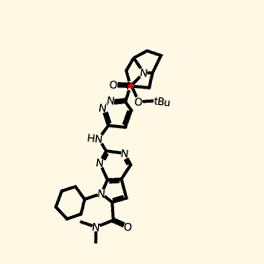 CN(C)C(=O)c1cc2cnc(Nc3ccc(N4CC5CCC(C4)N5C(=O)OC(C)(C)C)nn3)nc2n1C1CCCCC1